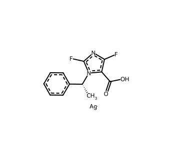 C[C@H](c1ccccc1)n1c(F)nc(F)c1C(=O)O.[Ag]